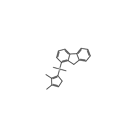 CC1=CCC([Si](C)(C)c2cccc3c2Cc2ccccc2-3)=C1C